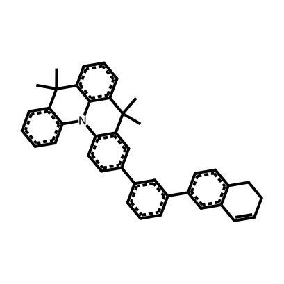 CC1(C)c2ccccc2N2c3ccc(-c4cccc(-c5ccc6c(c5)C=CCC6)c4)cc3C(C)(C)c3cccc1c32